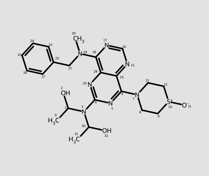 CC(O)N(c1nc(N2CC[S+]([O-])CC2)c2ncnc(N(C)Cc3ccccc3)c2n1)C(C)O